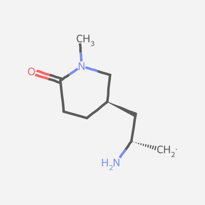 [CH2][C@H](N)C[C@H]1CCC(=O)N(C)C1